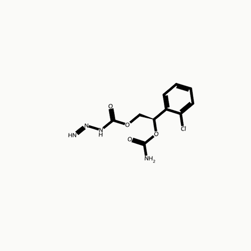 N=NNC(=O)OC[C@H](OC(N)=O)c1ccccc1Cl